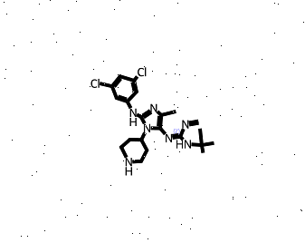 C=N/C(=N\c1c(C)nc(Nc2cc(Cl)cc(Cl)c2)n1C1CCNCC1)NC(C)(C)C